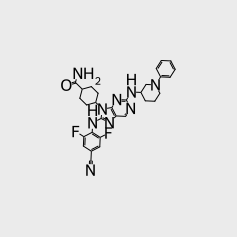 N#Cc1cc(F)c(Nc2nc3cnc(NC4CCCN(c5ccccc5)C4)nc3n2C2CCC(C(N)=O)CC2)c(F)c1